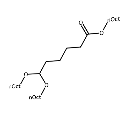 CCCCCCCCOC(=O)CCCCC(OCCCCCCCC)OCCCCCCCC